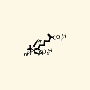 C=C(CCCCC([Si](CC(C)C)(CC(C)C)C(C)(C)CCC)S(=O)(=O)O)C(=O)O